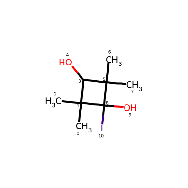 CC1(C)C(O)C(C)(C)C1(O)I